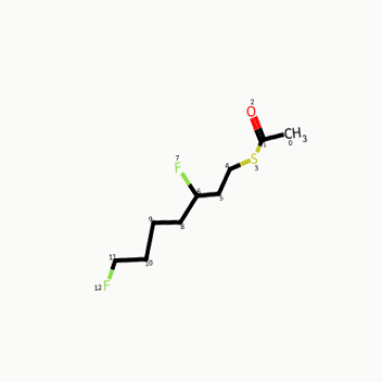 CC(=O)SCCC(F)CCCCF